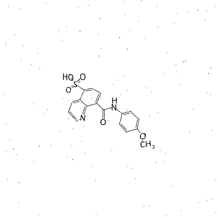 COc1ccc(NC(=O)c2ccc(S(=O)(=O)O)c3cccnc23)cc1